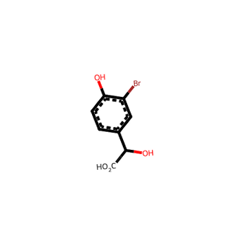 O=C(O)C(O)c1ccc(O)c(Br)c1